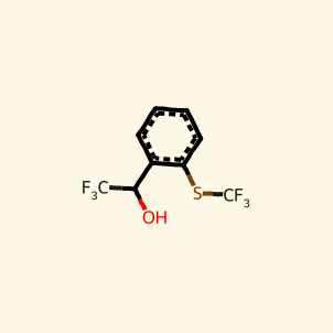 OC(c1ccccc1SC(F)(F)F)C(F)(F)F